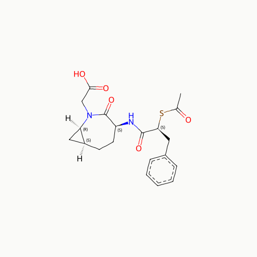 CC(=O)S[C@@H](Cc1ccccc1)C(=O)N[C@H]1CC[C@H]2C[C@H]2N(CC(=O)O)C1=O